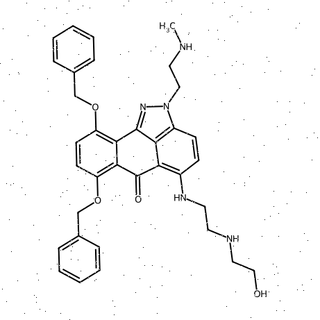 CNCCn1nc2c3c(c(NCCNCCO)ccc31)C(=O)c1c(OCc3ccccc3)ccc(OCc3ccccc3)c1-2